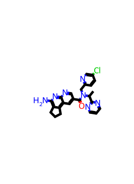 CC(c1ncccn1)N(Cc1ccc(Cl)cn1)C(=O)c1cnc2nc(N)c3c(c2c1)CCC3